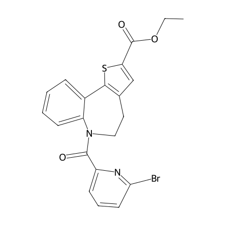 CCOC(=O)c1cc2c(s1)-c1ccccc1N(C(=O)c1cccc(Br)n1)CC2